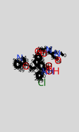 CCN1CC(CN(C)C[C@@H]2COc3cc4c(cc3O2)C2(CCC(Nc3cccc(Cl)c3)(C(=O)O)CC2)[C@@H](C[C@@H](C)COc2ccnc3c2[C@H](C)CCC3)C4)CC1=O